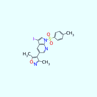 Cc1ccc(S(=O)(=O)n2cc(I)c3cc(-c4c(C)noc4C)cnc32)cc1